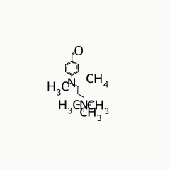 C.CN(CCC[N+](C)(C)C)c1ccc(C=O)cc1